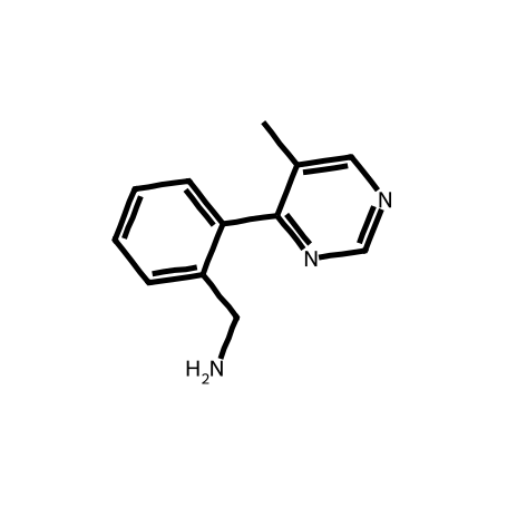 Cc1cncnc1-c1ccccc1CN